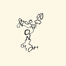 CCCCN(CCCO)C(=O)CN1C[C@H](c2ccc3c(c2)OCO3)[C@H](C(=O)O)[C@H]1CCN1CCCC1=O